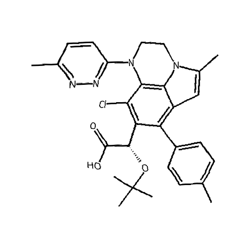 Cc1ccc(-c2c([C@H](OC(C)(C)C)C(=O)O)c(Cl)c3c4c2cc(C)n4CCN3c2ccc(C)nn2)cc1